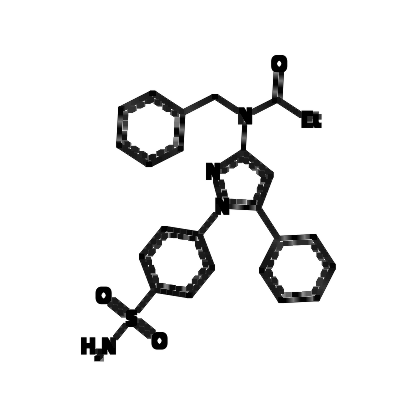 CCC(=O)N(Cc1ccccc1)c1cc(-c2ccccc2)n(-c2ccc(S(N)(=O)=O)cc2)n1